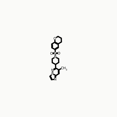 Cc1cc2nccn2nc1C1CCN(S(=O)(=O)c2ccc3c(c2)CCCO3)CC1